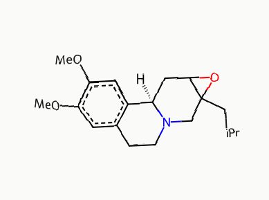 COc1cc2c(cc1OC)[C@H]1CC3OC3(CC(C)C)CN1CC2